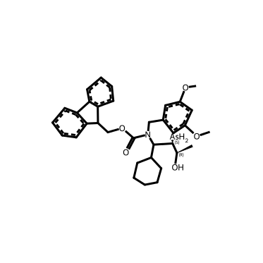 COc1cc(CN(C(=O)OCC2c3ccccc3-c3ccccc32)C(C2CCCCC2)[C@H]([AsH2])[C@@H](C)O)cc(OC)c1